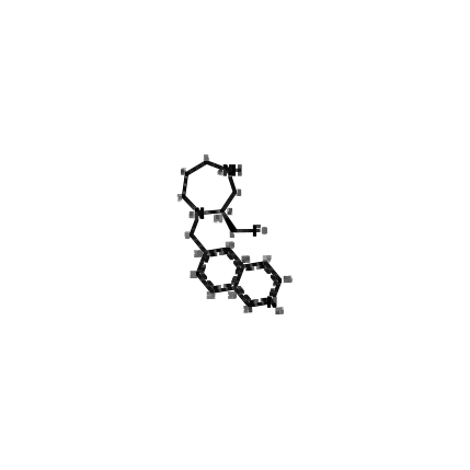 FC[C@@H]1CNCCCN1Cc1ccc2cnccc2c1